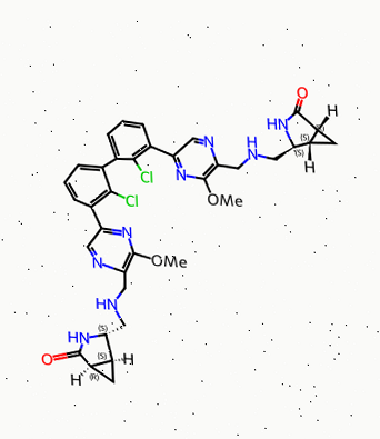 COc1nc(-c2cccc(-c3cccc(-c4cnc(CNC[C@H]5NC(=O)[C@@H]6C[C@H]56)c(OC)n4)c3Cl)c2Cl)cnc1CNC[C@H]1NC(=O)[C@@H]2C[C@H]12